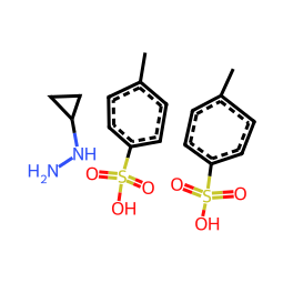 Cc1ccc(S(=O)(=O)O)cc1.Cc1ccc(S(=O)(=O)O)cc1.NNC1CC1